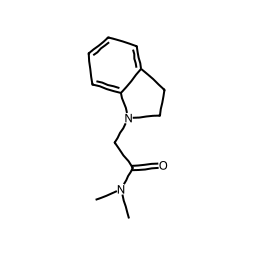 CN(C)C(=O)CN1CCc2ccccc21